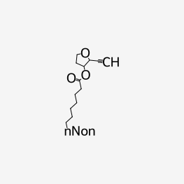 C#CC1OCCC1OC(=O)CCCCCCCCCCCCCCC